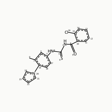 Cc1cc(NC(=S)NC(=O)c2ccccc2Cl)ccc1-n1cccc1